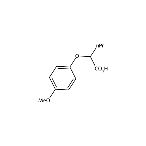 CCCC(Oc1ccc(OC)cc1)C(=O)O